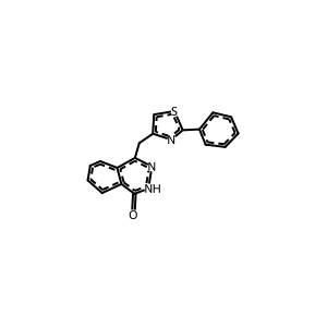 O=c1[nH]nc(Cc2csc(-c3ccccc3)n2)c2ccccc12